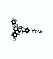 COCCOc1ccc(COC(=O)C2=C(C)N(C[C@@H]3CCCO3)C(=O)C[C@@H]2c2ccc(Cl)cc2)cc1